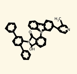 Cc1cnccc1-c1ccc2c3ccccc3n(-c3cccc4c3C(=O)N(c3cc(-c5ccccc5)ccc3-c3ccccc3)C4O)c2c1